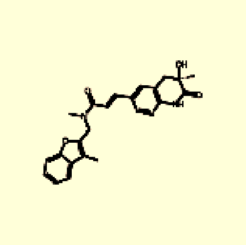 Cc1c(CN(C)C(=O)/C=C/c2cnc3c(c2)C[C@@](C)(O)C(=O)N3)oc2ccccc12